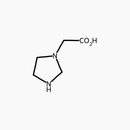 O=C(O)CN1CCNC1